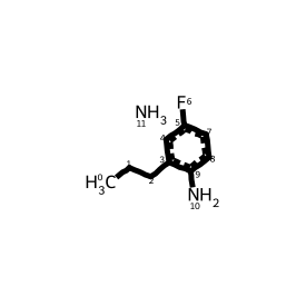 CCCc1cc(F)ccc1N.N